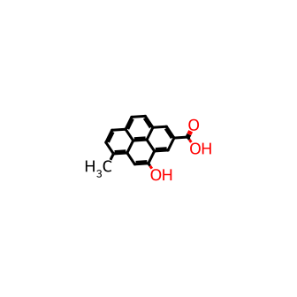 Cc1ccc2ccc3cc(C(=O)O)cc4c(O)cc1c2c34